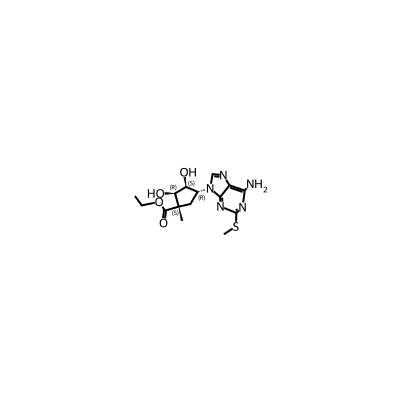 CCOC(=O)[C@@]1(C)C[C@@H](n2cnc3c(N)nc(SC)nc32)[C@H](O)[C@@H]1O